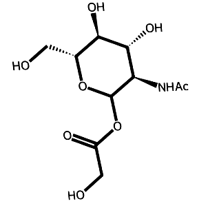 CC(=O)N[C@H]1C(OC(=O)CO)O[C@H](CO)[C@@H](O)[C@@H]1O